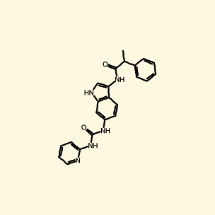 CC(C(=O)Nc1c[nH]c2cc(NC(=O)Nc3ccccn3)ccc12)c1ccccc1